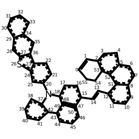 C1=Cc2ccc3ccc4cccc(C=Cc5ccc(N(c6ccc7c(c6)sc6cc8ccccc8cc67)c6ccccc6-c6ccccc6)cc5)c4c3c2CC1